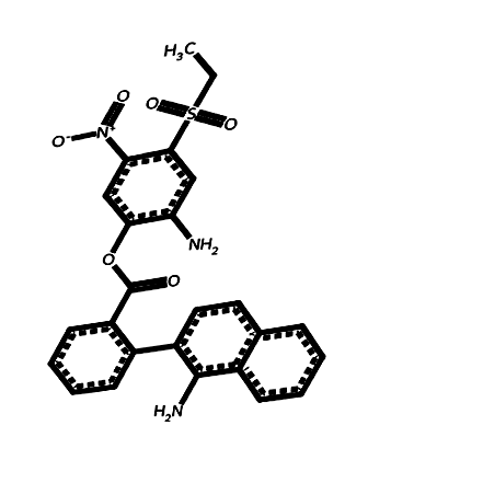 CCS(=O)(=O)c1cc(N)c(OC(=O)c2ccccc2-c2ccc3ccccc3c2N)cc1[N+](=O)[O-]